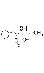 CCC1CO[C@@H]1C(O)C(N)CC1CCCCC1